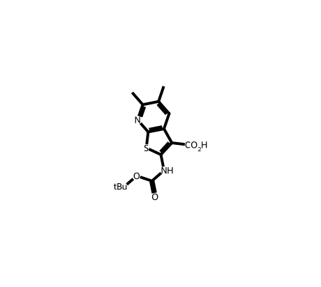 Cc1cc2c(C(=O)O)c(NC(=O)OC(C)(C)C)sc2nc1C